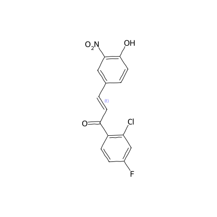 O=C(/C=C/c1ccc(O)c([N+](=O)[O-])c1)c1ccc(F)cc1Cl